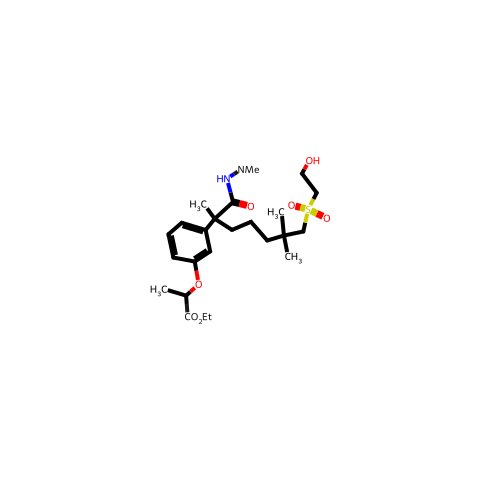 CCOC(=O)C(C)Oc1cccc(C(C)(CCCC(C)(C)CS(=O)(=O)CCO)C(=O)NNC)c1